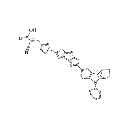 N#C/C(=C\c1ccc(-c2cc3sc4cc(-c5ccc6c(c5)C5C7CCC(C7)C5N6c5ccccc5)sc4c3s2)s1)C(=O)O